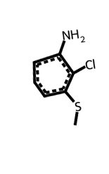 CSc1cccc(N)c1Cl